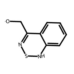 [O]CC1=NSNc2ccccc21